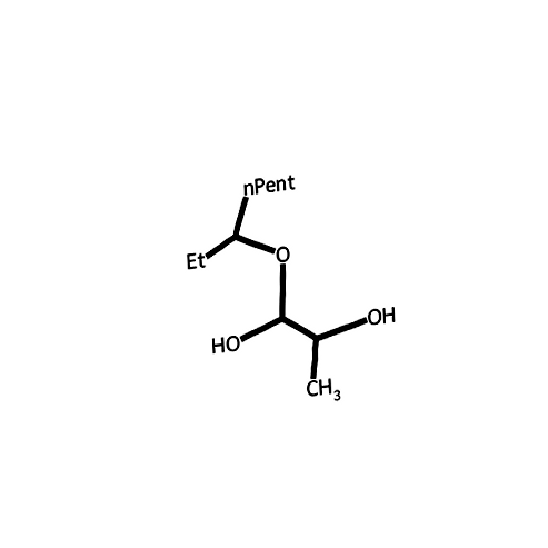 CCCCCC(CC)OC(O)C(C)O